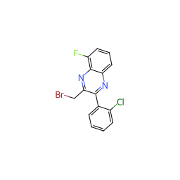 Fc1cccc2nc(-c3ccccc3Cl)c(CBr)nc12